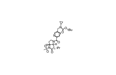 CC(C)[C@@H]1C(=O)N(S(C)(=O)=O)[C@@H]2CCN(C(=O)c3cnc(CN(C(=O)OC(C)(C)C)C4CC4)cn3)[C@H]21